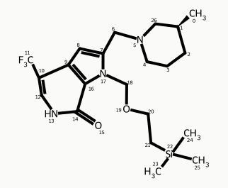 C[C@H]1CCCN(Cc2cc3c(C(F)(F)F)c[nH]c(=O)c3n2COCC[Si](C)(C)C)C1